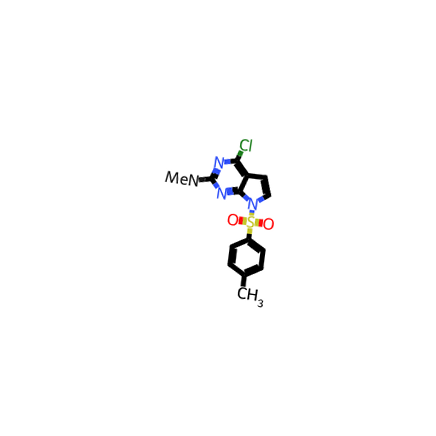 CNc1nc(Cl)c2ccn(S(=O)(=O)c3ccc(C)cc3)c2n1